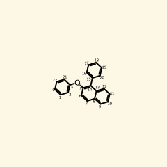 c1ccc(Oc2ccc3ccccc3c2-c2ccccc2)cc1